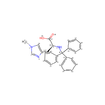 Cn1cnc(C[C@H](NC(c2ccccc2)(c2ccccc2)c2ccccc2)C(=O)O)c1